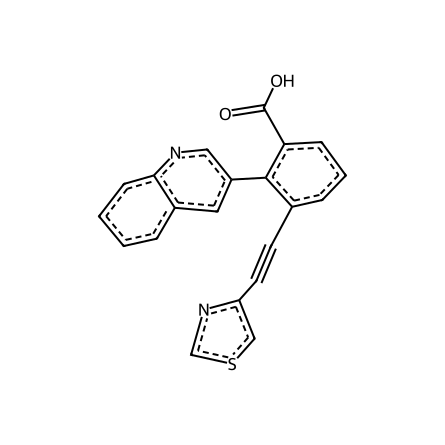 O=C(O)c1cccc(C#Cc2cscn2)c1-c1cnc2ccccc2c1